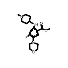 COC(=O)c1cc(N2CCOCC2)c(F)cc1NC1CCN(C)CC1